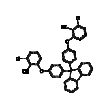 [C-]#[N+]c1c(Cl)cccc1Oc1ccc(C2(c3ccc(Oc4cccc(Cl)c4C#N)cc3)c3ccccc3-c3ccccc32)cc1